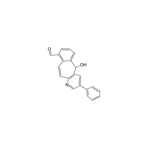 O=Cc1cccc2c1C=Cc1ncc(-c3ccccc3)cc1C2O